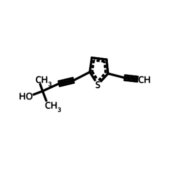 C#Cc1ccc(C#CC(C)(C)O)s1